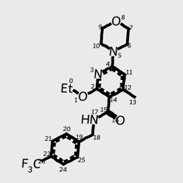 CCOc1nc(N2CCOCC2)cc(C)c1C(=O)NCc1ccc(C(F)(F)F)cc1